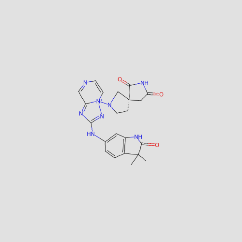 CC1(C)C(=O)Nc2cc(NC3=N[N+]4(N5CC[C@]6(CC(=O)NC6=O)C5)C=CN=CC4=N3)ccc21